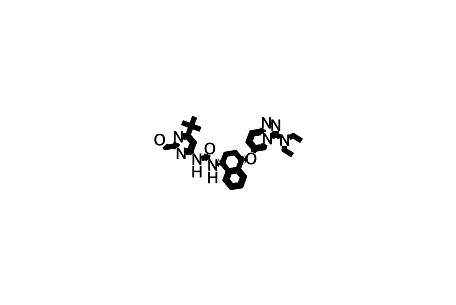 CCN(CC)c1nnc2ccc(O[C@@H]3CC[C@H](NC(=O)Nc4cc(C(C)(C)C)nc(C=O)n4)c4ccccc43)cn12